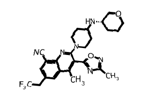 Cc1noc(-c2c(N3CCC(N[C@H]4CCCOC4)CC3)nc3c(C#N)cc(CC(F)(F)F)cc3c2C)n1